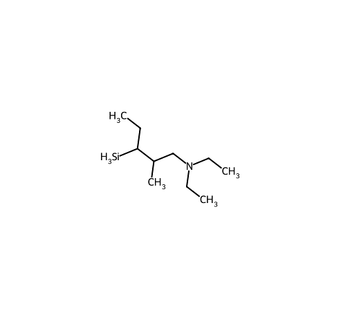 CCC([SiH3])C(C)CN(CC)CC